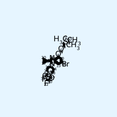 C[Si](C)(C)CCOCOc1cc(Br)cc2c1nc(C1CC1)n2C1CCN(S(=O)(=O)C(F)(F)F)CC1